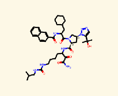 CC(C)CNC(=O)NCCCCC(NC(=O)[C@@H]1C[C@H](n2nncc2C(C)(C)O)CN1C(=O)C(CC1CCCCC1)NC(=O)c1ccc2ccccc2c1)C(=O)C(N)=O